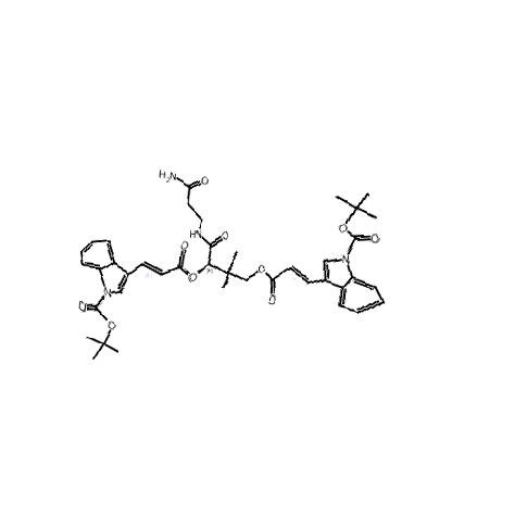 CC(C)(C)OC(=O)n1cc(/C=C/C(=O)OCC(C)(C)[C@@H](OC(=O)/C=C/c2cn(C(=O)OC(C)(C)C)c3ccccc23)C(=O)NCCC(N)=O)c2ccccc21